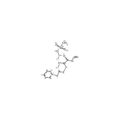 CC(C)(C)OC(=O)N1CCN(Cc2ccccc2)C[C@@H]1CCOS(C)(=O)=O